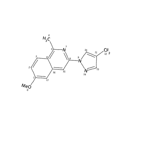 COc1ccc2c(C)nc(-n3cc(C(F)(F)F)cn3)cc2c1